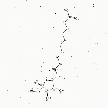 O=C(O)CCCCCCCCNC[C@H]1O[C@@](O)(CO)[C@H](O)[C@H]1O